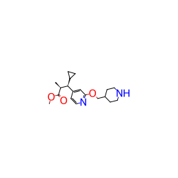 COC(=O)[C@@H](C)[C@H](c1ccnc(OCC2CCNCC2)c1)C1CC1